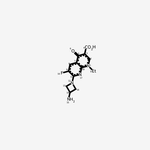 CCn1cc(C(=O)O)c(=O)c2cc(F)c(N3CC(N)C3)nc21